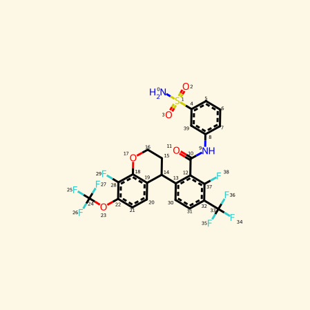 NS(=O)(=O)c1cccc(NC(=O)c2c(C3CCOc4c3ccc(OC(F)(F)F)c4F)ccc(C(F)(F)F)c2F)c1